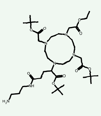 CCOC(=O)CN1CCN(CC(=O)OC(C)(C)C)CCN(C(CCC(=O)NCCCN)C(=O)OC(C)(C)C)CCN(CC(=O)OC(C)(C)C)CC1